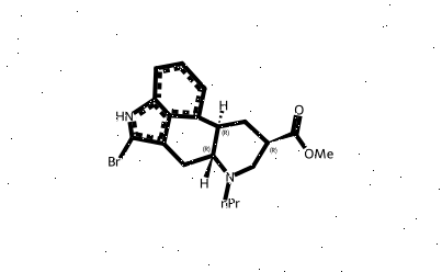 CCCN1C[C@H](C(=O)OC)C[C@@H]2c3cccc4[nH]c(Br)c(c34)C[C@H]21